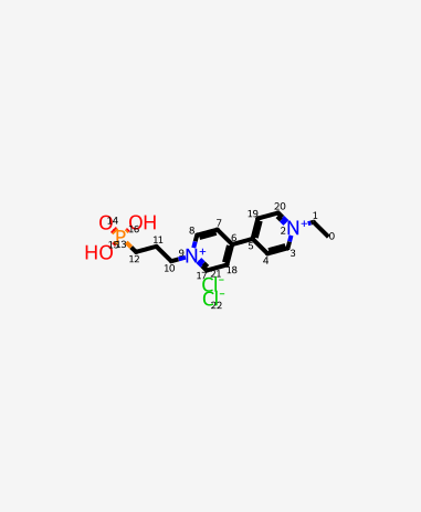 CC[n+]1ccc(-c2cc[n+](CCCP(=O)(O)O)cc2)cc1.[Cl-].[Cl-]